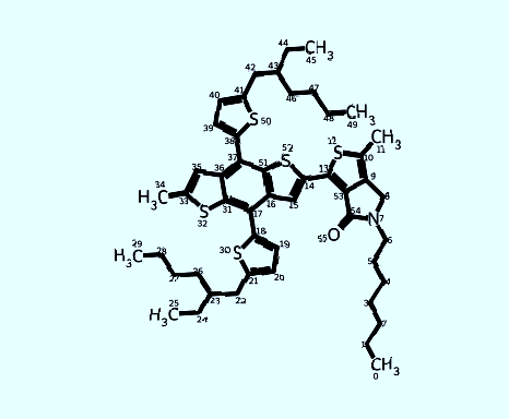 CCCCCCCN1Cc2c(C)sc(-c3cc4c(-c5ccc(CC(CC)CCCC)s5)c5sc(C)cc5c(-c5ccc(CC(CC)CCCC)s5)c4s3)c2C1=O